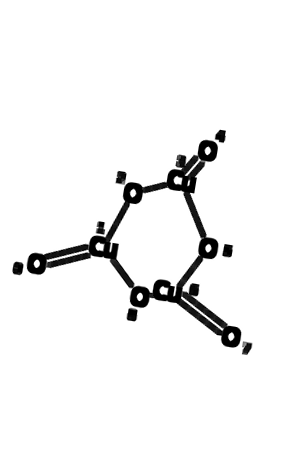 [O]=[Cu]1[O][Cu](=[O])[O][Cu](=[O])[O]1